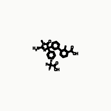 Cc1c(C(=O)O)cccc1-c1cccc(C2(c3ccccc3)N=C(N)N(C)C2=O)c1.O=C(O)C(F)(F)F